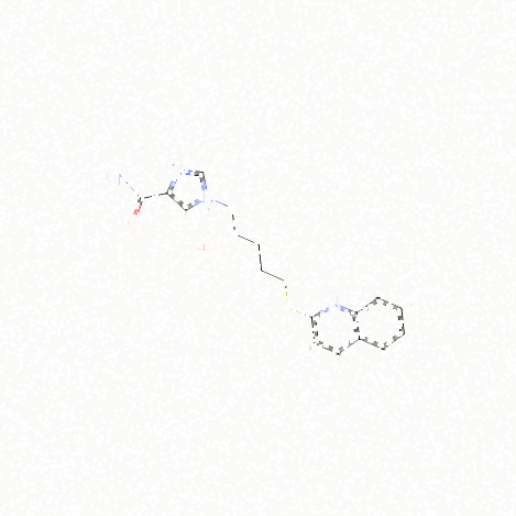 NC(=O)c1cn(C[C@@H](O)CCCSc2ccc3ccccc3n2)cn1